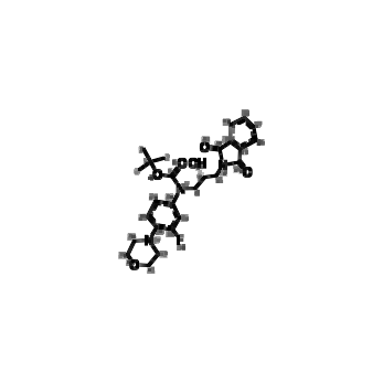 CC(C)(C)OC(=O)N(C[C@H](O)CN1C(=O)c2ccccc2C1=O)c1ccc(N2CCOCC2)c(F)c1